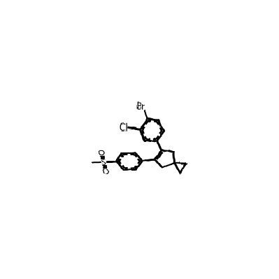 CS(=O)(=O)c1ccc(C2=C(c3ccc(Br)c(Cl)c3)CC3(CC3)C2)cc1